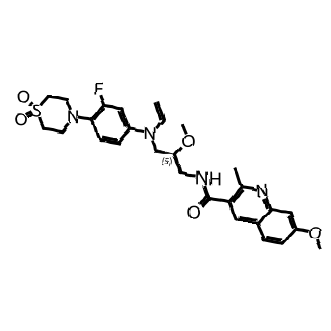 C=CN(C[C@H](CNC(=O)c1cc2ccc(OC)cc2nc1C)OC)c1ccc(N2CCS(=O)(=O)CC2)c(F)c1